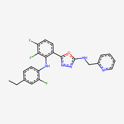 CCc1ccc(Nc2c(-c3nnc(NCc4ccccn4)o3)ccc(F)c2F)c(F)c1